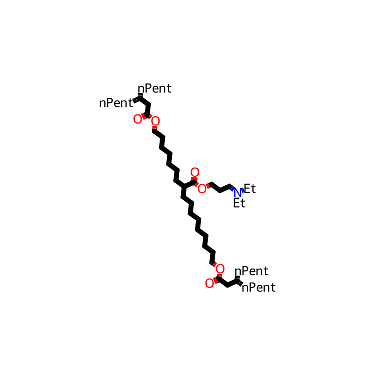 CCCCCC(CCCCC)CC(=O)OCCCCCCCCCC(CCCCCCCOC(=O)CC(CCCCC)CCCCC)C(=O)OCCCN(CC)CC